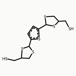 SCC1CSC(c2ccc(C3SCC(CS)S3)s2)S1